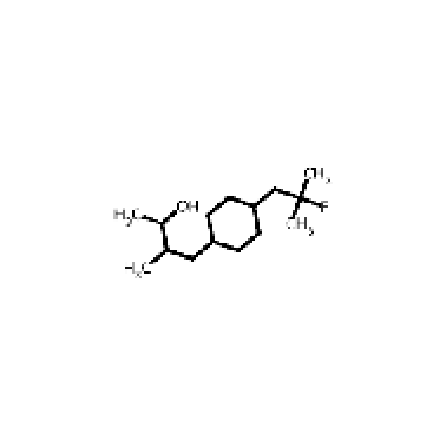 CC(CC1CCC(CC(C)(C)F)CC1)[C@@H](C)O